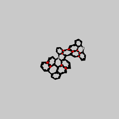 c1ccc(-c2cccc3cccc(-c4ccccc4N(c4cccc(-c5cc6c7c(cccc7c5)Oc5ccccc5-6)c4)c4ccccc4-c4cccc5ccccc45)c23)cc1